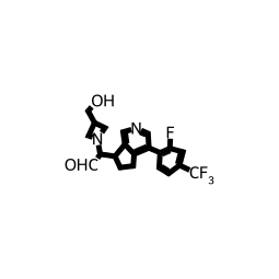 O=CC(C1CCc2c(-c3ccc(C(F)(F)F)cc3F)cncc21)N1CC(CO)C1